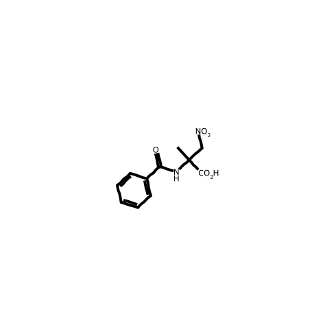 CC(C[N+](=O)[O-])(NC(=O)c1ccccc1)C(=O)O